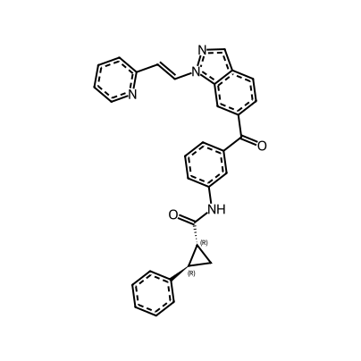 O=C(c1cccc(NC(=O)[C@@H]2C[C@H]2c2ccccc2)c1)c1ccc2cnn(C=Cc3ccccn3)c2c1